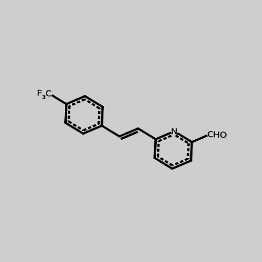 O=Cc1cccc(/C=C/c2ccc(C(F)(F)F)cc2)n1